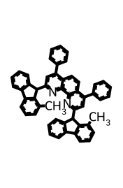 Cc1cccc2c1C(c1cc(-c3ccccc3)c3ccc4c(-c5ccccc5)cc(C5c6ccccc6-c6cccc(C)c65)nc4c3n1)c1ccccc1-2